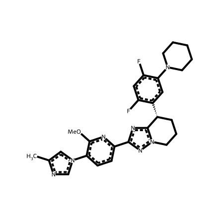 COc1nc(-c2nc3n(n2)CCC[C@H]3c2cc(N3CCCCC3)c(F)cc2F)ccc1-n1cnc(C)c1